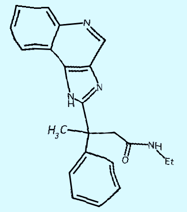 CCNC(=O)CC(C)(c1ccccc1)c1nc2cnc3ccccc3c2[nH]1